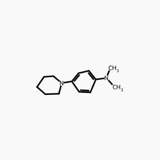 CN(C)c1ccc(N2CCCCC2)cc1